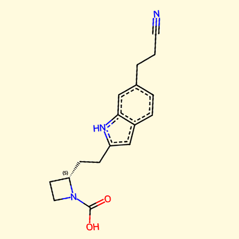 N#CCCc1ccc2cc(CC[C@H]3CCN3C(=O)O)[nH]c2c1